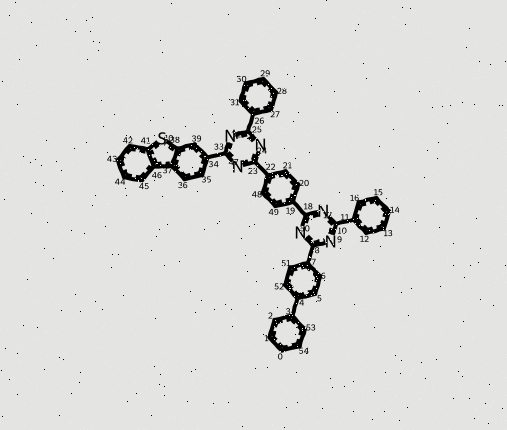 c1ccc(-c2ccc(-c3nc(-c4ccccc4)nc(-c4ccc(-c5nc(-c6ccccc6)nc(-c6ccc7c(c6)sc6ccccc67)n5)cc4)n3)cc2)cc1